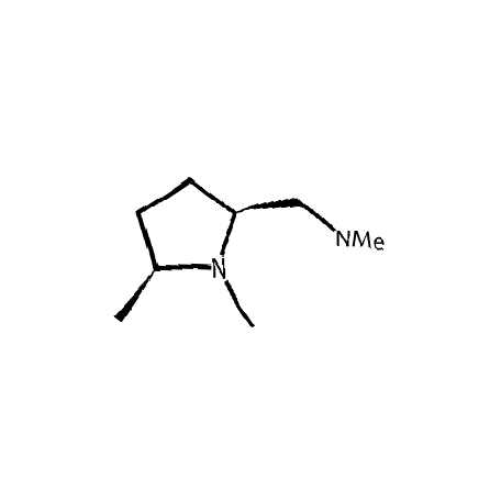 CNC[C@@H]1CC[C@H](C)N1C